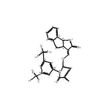 CC1=CC(O/C=C2/C(=O)OC3c4ccccc4CC23)N(c2cc(C(F)(F)F)cc(C(F)(F)F)c2)C1=O